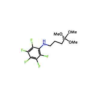 CO[Si](CCCNc1c(F)c(F)c(F)c(F)c1F)(OC)OC